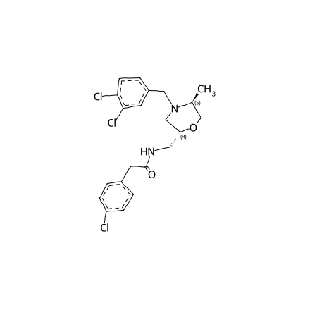 C[C@H]1CO[C@H](CNC(=O)Cc2ccc(Cl)cc2)CN1Cc1ccc(Cl)c(Cl)c1